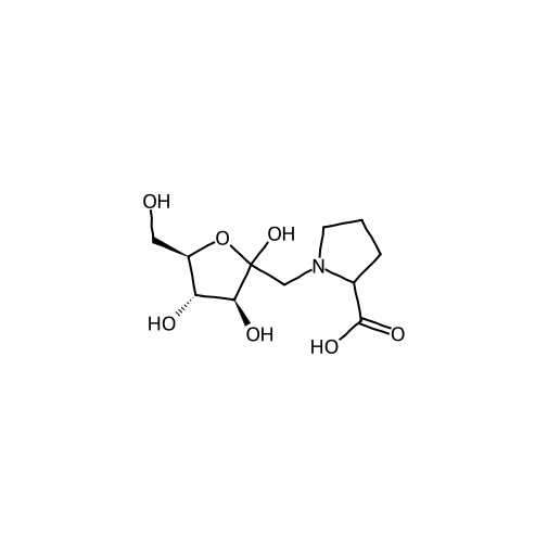 O=C(O)C1CCCN1CC1(O)O[C@H](CO)[C@@H](O)[C@@H]1O